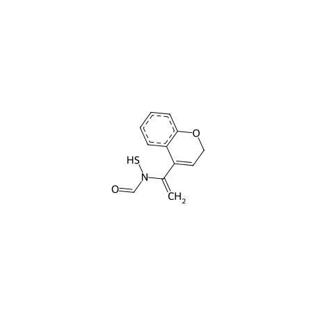 C=C(C1=CCOc2ccccc21)N(S)C=O